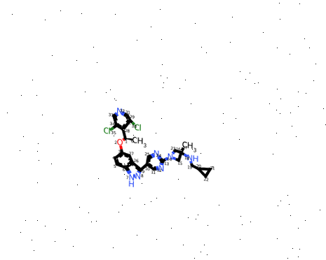 C[C@@H](Oc1ccc2[nH]nc(-c3cnc(N4CC(C)(NCC5CC5)C4)nc3)c2c1)c1c(Cl)cncc1Cl